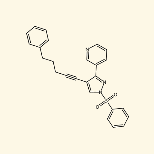 O=S(=O)(c1ccccc1)n1cc(C#CCCCc2ccccc2)c(-c2cccnc2)n1